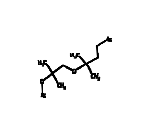 CCOC(C)(C)COC(C)(C)CCC(C)=O